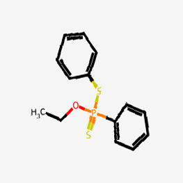 CCOP(=S)(Sc1ccccc1)c1ccccc1